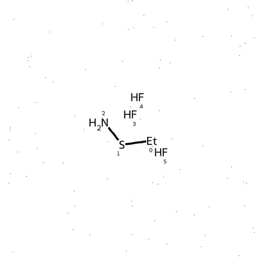 CCSN.F.F.F